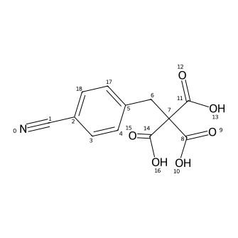 N#Cc1ccc(CC(C(=O)O)(C(=O)O)C(=O)O)cc1